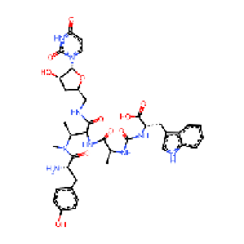 C[C@H](NC(=O)N[C@@H](Cc1c[nH]c2ccccc12)C(=O)O)C(=O)N[C@H](C(=O)NC[C@H]1C[C@@H](O)[C@H](n2ccc(=O)[nH]c2=O)O1)[C@H](C)N(C)C(=O)[C@@H](N)Cc1ccc(O)cc1